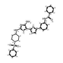 Nc1nc(NC2CCN(S(=O)(=O)c3ccccc3)CC2)sc1-c1nc(-c2cccc(NC(=O)c3ccccc3)c2)cs1